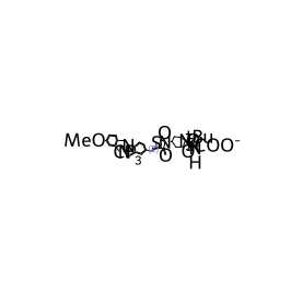 COc1ccc(Cn2ncc3cc(/C=C4\SC(=O)N(C5CC[N+](C(C)(C)C)(S(=O)(=O)NC(=O)[O-])CC5)C4=O)ccc32)c(C(F)(F)F)c1